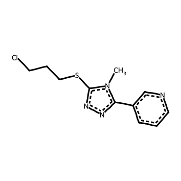 Cn1c(SCCCCl)nnc1-c1cccnc1